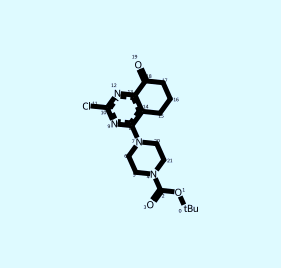 CC(C)(C)OC(=O)N1CCN(c2nc(Cl)nc3c2CCCC3=O)CC1